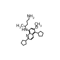 COc1cc(NC(C)CCCN)c2nc(C3CCCC3)ccc2c1C1CCCC1